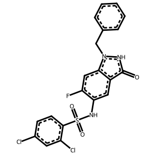 O=c1[nH]n(Cc2ccccc2)c2cc(F)c(NS(=O)(=O)c3ccc(Cl)cc3Cl)cc12